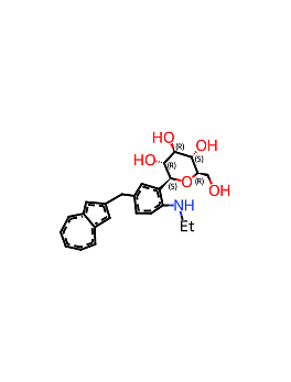 CCNc1ccc(Cc2cc3cccccc-3c2)cc1[C@@H]1O[C@H](CO)[C@@H](O)[C@H](O)[C@H]1O